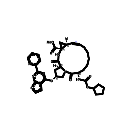 COC(=O)[C@@]12C[C@H]1/C=C\CCCCC[C@H](NC(=O)OC1CCCC1)C(=O)N1C[C@H](Oc3nc(-c4ccccn4)nc4sccc34)C[C@H]1C(=O)N2